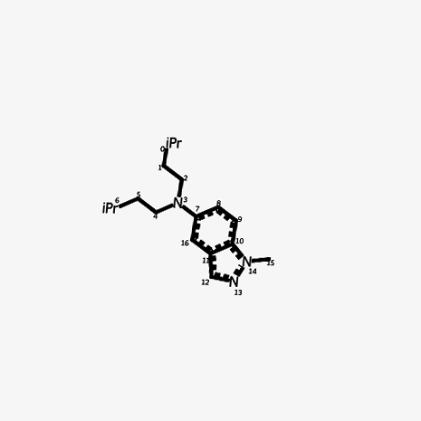 CC(C)CCN(CCC(C)C)c1ccc2c(cnn2C)c1